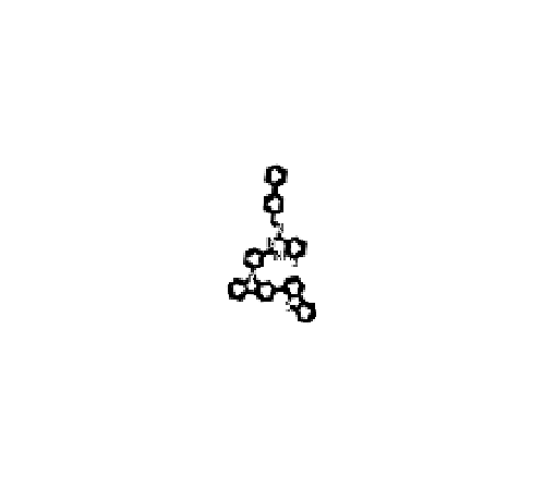 N/C(=N\C(=N/Cc1ccc(-c2ccccc2)cc1)c1ccccc1)c1cccc(-n2c3ccccc3c3ccc(-c4cccc5c4sc4ccccc45)cc32)c1